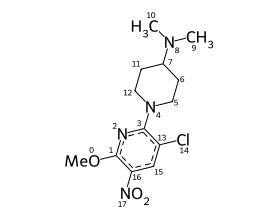 COc1nc(N2CCC(N(C)C)CC2)c(Cl)cc1[N+](=O)[O-]